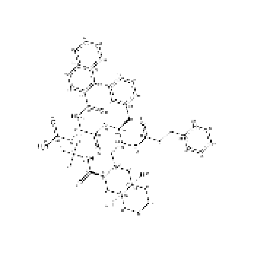 CC(C)(C)NC(=O)[C@@H]1C[C@@H]2CCCC[C@@H]2CN1C[C@@H](OC(=O)CCc1ccccn1)[C@H](Cc1ccccc1)NC(=O)[C@H](CC(N)=O)NC(=O)c1ccc2ccccc2n1